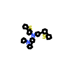 c1ccc(-n2c3ccccc3c3ccc(N(c4ccc(-c5cccc6c5sc5ccccc56)cc4)c4ccc5c(c4)sc4ccccc45)cc32)cc1